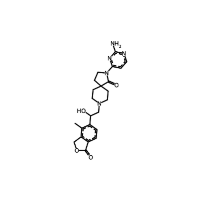 Cc1c(C(O)CN2CCC3(CC2)CCN(c2ccnc(N)n2)C3=O)ccc2c1COC2=O